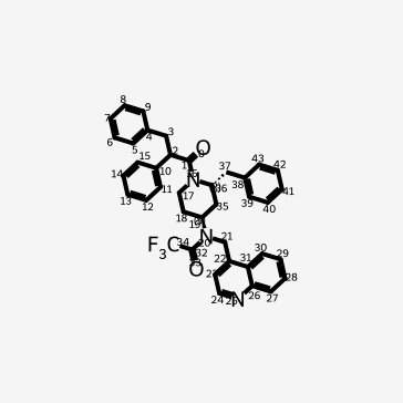 O=C(C(Cc1ccccc1)c1ccccc1)N1CC[C@H](N(Cc2ccnc3ccccc23)C(=O)C(F)(F)F)C[C@H]1Cc1ccccc1